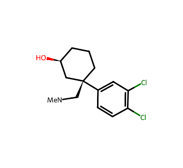 CNC[C@]1(c2ccc(Cl)c(Cl)c2)CCC[C@H](O)C1